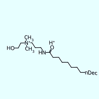 CCCCCCCCCCCCCCCCCC(=O)NCCC[N+](C)(C)CCO.[H+]